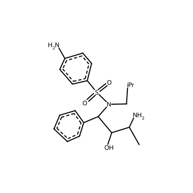 CC(C)CN(C(c1ccccc1)C(O)C(C)N)S(=O)(=O)c1ccc(N)cc1